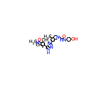 Cc1cc(-c2c[nH]c3ncc(-c4cc(C)c5c(c4)CN(CCC(=O)N[C@H]4CC[C@H](O)CC4)CC5)nc23)ccc1C(=O)N(C)C